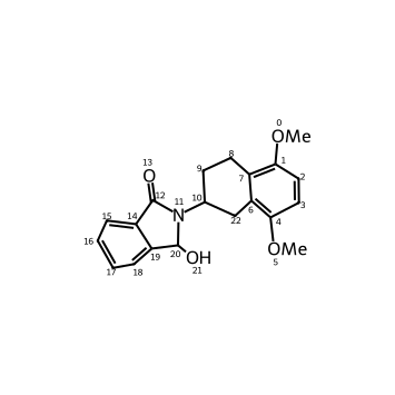 COc1ccc(OC)c2c1CCC(N1C(=O)c3ccccc3C1O)C2